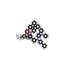 CC(C)(C)CC(c1ccc(-c2ccc3c(c2)C2(c4ccccc4-3)c3ccccc3-c3ccc(-n4c5ccccc5c5ccc(-c6cccc(N(c7ccc(-c8ccccc8)cc7)c7ccc8c9ccccc9n(-c9ccccc9)c8c7)c6)cc54)cc32)cc1)C(C)(C)C